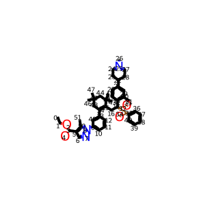 CCOC(=O)c1cnn(-c2cccc(C3=C(CC(c4ccc(C5CCN(C)CC5)cc4C)S(=O)(=O)c4ccccc4)C(C)(C)CC(C)(C)C3)c2)c1C